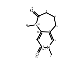 CN(C)/C=C1/CCCC(=O)N(C)/C1=C/C=O